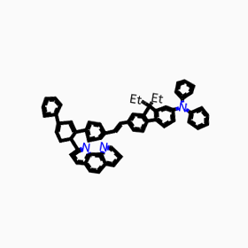 CCC1(CC)c2cc(/C=C/c3ccc(C4=CC(c5ccccc5)=CCC4c4ccc5ccc6cccnc6c5n4)cc3)ccc2-c2ccc(N(c3ccccc3)c3ccccc3)cc21